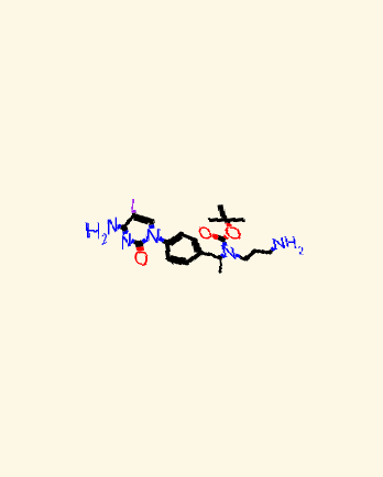 C[C@@H](c1ccc(-n2cc(I)c(N)nc2=O)cc1)N(CCCN)C(=O)OC(C)(C)C